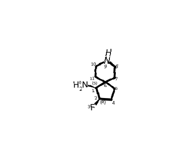 N[C@@H]1[C@H](F)CCC12CCNCC2